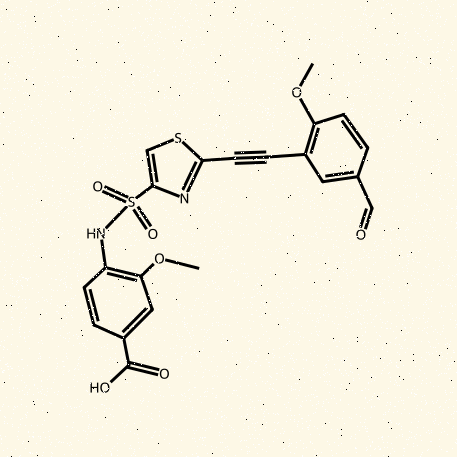 COc1ccc(C=O)cc1C#Cc1nc(S(=O)(=O)Nc2ccc(C(=O)O)cc2OC)cs1